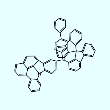 c1ccc(-c2ccc(N(c3ccc4c(c3)c3ccc5cccc6c7ccccc7n4c3c56)c3cccc4c3C3(c5ccccc5-c5ccccc53)c3ccccc3-4)cc2)cc1